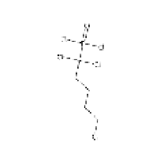 O=P(Cl)(Cl)C(Cl)(Cl)CCCCCl